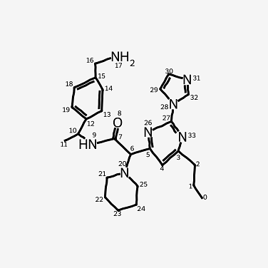 CCCc1cc(C(C(=O)NC(C)c2ccc(CN)cc2)N2CCCCC2)nc(-n2ccnc2)n1